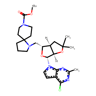 Cc1nc(Cl)c2ccn([C@@H]3O[C@H](CN4CCCC45CCN(C(=O)OC(C)(C)C)CC5)[C@H]4CC(C)(C)O[C@H]43)c2n1